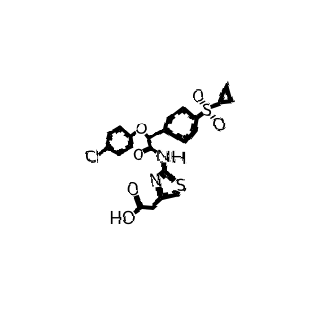 O=C(O)Cc1csc(NC(=O)C(Oc2ccc(Cl)cc2)c2ccc(S(=O)(=O)C3CC3)cc2)n1